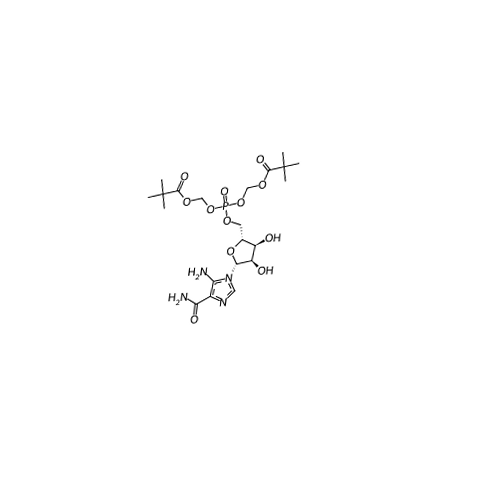 CC(C)(C)C(=O)OCOP(=O)(OCOC(=O)C(C)(C)C)OC[C@H]1O[C@@H](n2cnc(C(N)=O)c2N)[C@H](O)[C@@H]1O